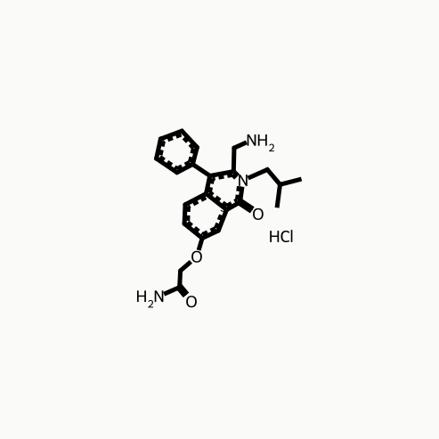 CC(C)Cn1c(CN)c(-c2ccccc2)c2ccc(OCC(N)=O)cc2c1=O.Cl